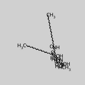 CCC=CCC=CCC=CCC=CCC=CCC=CCCC(=O)NCCCC[C@H](NC(=O)CCCC=CCC=CCC=CCC=CCC=CCC)C(=O)NC1=NC(=O)C2N[C@@H]([C@@H](O)[C@H](C)O)CNC2=N1